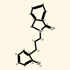 O=C1c2ccccc2CN1CCCc1ccccc1Br